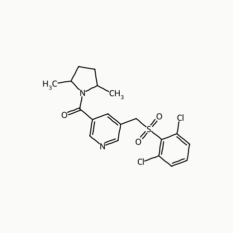 CC1CCC(C)N1C(=O)c1cncc(CS(=O)(=O)c2c(Cl)cccc2Cl)c1